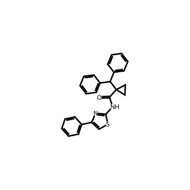 O=C(Nc1nc(-c2ccccc2)cs1)C1(C(c2ccccc2)c2ccccc2)CC1